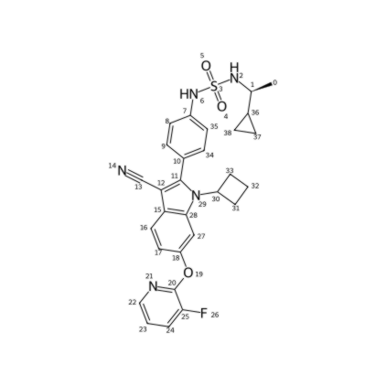 C[C@H](NS(=O)(=O)Nc1ccc(-c2c(C#N)c3ccc(Oc4ncccc4F)cc3n2C2CCC2)cc1)C1CC1